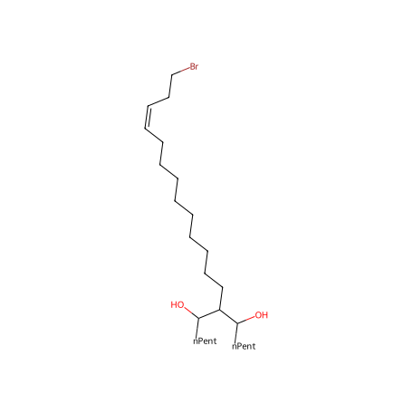 CCCCCC(O)C(CCCCCCCCC/C=C\CCBr)C(O)CCCCC